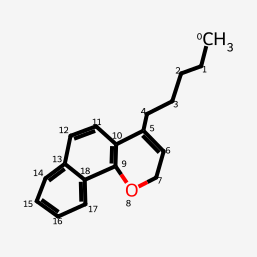 CCCCCC1=CCOc2c1ccc1ccccc21